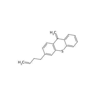 C=CCCc1ccc2c(c1)Sc1ccccc1C2=C